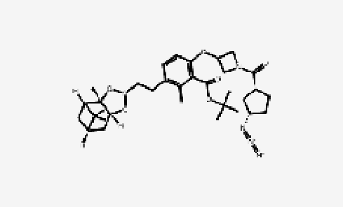 Cc1c(CCB2O[C@@H]3C[C@@H]4C[C@@H](C4(C)C)[C@]3(C)O2)ccc(OC2CN(C(=O)[C@H]3CC[C@H](N=[N+]=[N-])C3)C2)c1C(=O)OC(C)(C)C